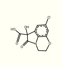 O=C(O)C1(O)C(=O)N2CCOc3cc(Cl)cc1c32